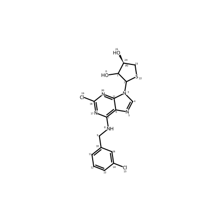 OC1C(n2cnc3c(NCc4cccc(Cl)c4)nc(Cl)nc32)SC[C@@H]1O